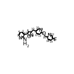 Nc1ncccc1-c1cc(Cc2ccc(OCc3ccc(F)cn3)nc2)no1